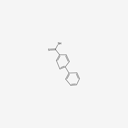 S=C(S)c1ccc(-c2ccccc2)cc1